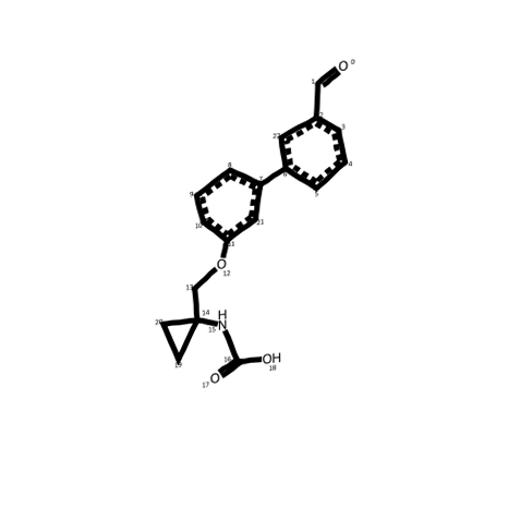 O=Cc1cccc(-c2cccc(OCC3(NC(=O)O)CC3)c2)c1